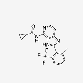 Cc1cccc(C(F)(F)F)c1-c1nc2ccnc(NC(=O)C3CC3)c2[nH]1